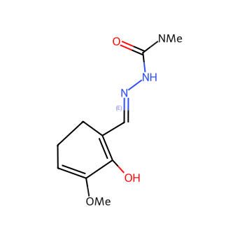 CNC(=O)N/N=C/C1=C(O)C(OC)=CCC1